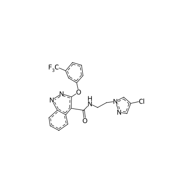 O=C(NCCn1cc(Cl)cn1)c1c(Oc2cccc(C(F)(F)F)c2)nnc2ccccc12